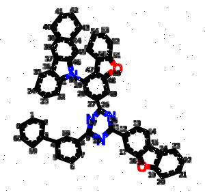 c1ccc(-c2cccc(-c3nc(-c4ccc5c(c4)oc4ccccc45)nc(-c4cc(-n5c6ccccc6c6cc7ccccc7cc65)c5c(c4)oc4ccccc45)n3)c2)cc1